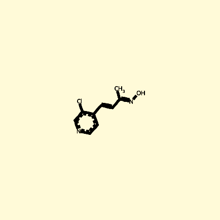 CC(/C=C/c1ccncc1Cl)=N\O